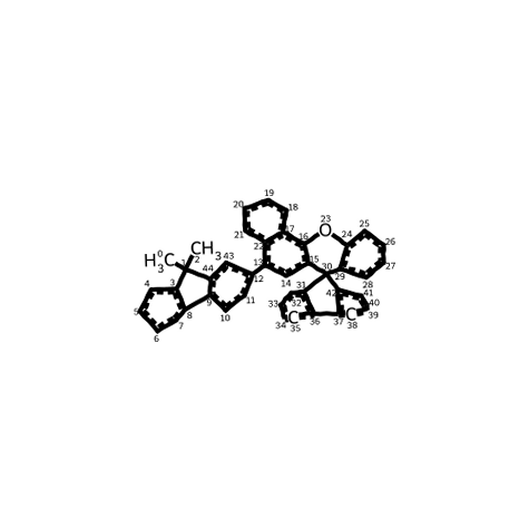 CC1(C)c2ccccc2-c2ccc(-c3cc4c(c5ccccc35)Oc3ccccc3C43c4ccccc4-c4ccccc43)cc21